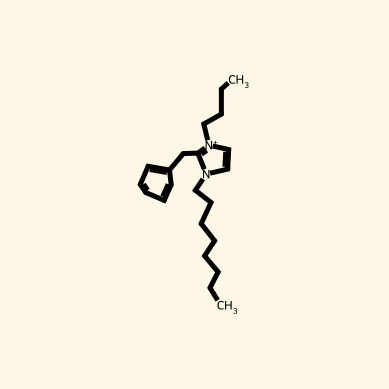 CCCCCCCCn1cc[n+](CCCC)c1Cc1ccccc1